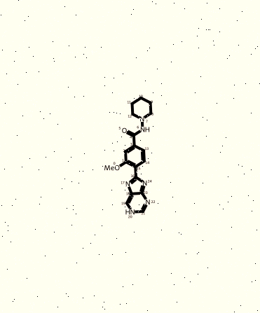 COc1cc(C(=O)NN2CCCCC2)ccc1-c1nc2c[nH]cnc-2n1